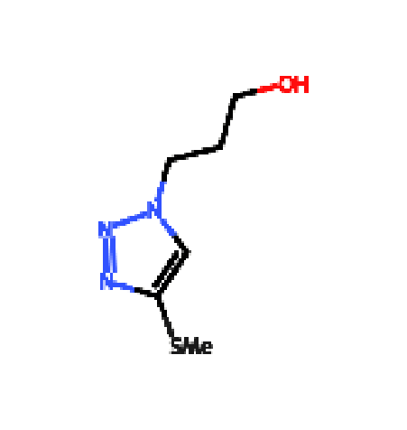 CSc1cn(CCCO)nn1